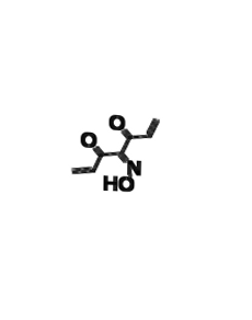 C=CC(=O)C(=NO)C(=O)C=C